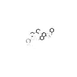 Cc1ccc2c(NS(=O)(=O)Cc3ccccc3C(F)(F)F)cccc2c1Oc1ncccc1-c1ccnc(N[C@H]2CCCN(C(=O)O)C2)n1